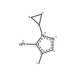 CCCc1c(C)cnn1C1CC1